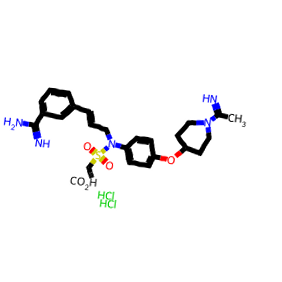 CC(=N)N1CCC(Oc2ccc(N(C/C=C/c3cccc(C(=N)N)c3)S(=O)(=O)CC(=O)O)cc2)CC1.Cl.Cl